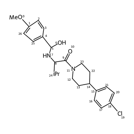 COc1ccc(C(O)NC(C(=O)N2CCC(c3ccc(Cl)cc3)CC2)C(C)C)cc1